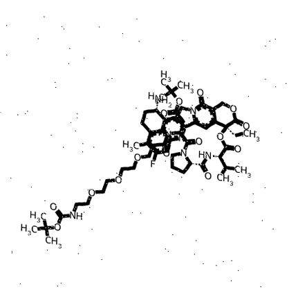 CC[C@@]1(OC(=O)[C@@H](NC(=O)[C@@H]2CCCN2C(=O)[C@H](CC(=O)OC(C)(C)C)NC(=O)CCOCCOCCOCCNC(=O)OC(C)(C)C)C(C)C)C(=O)OCc2c1cc1n(c2=O)Cc2c-1nc1cc(F)c(C)c3c1c2[C@@H](N)CC3